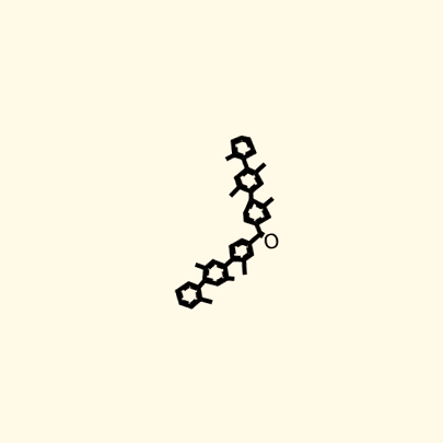 Cc1ccccc1-c1cc(C)c(-c2ccc(C(=O)c3ccc(-c4cc(C)c(-c5ccccc5C)cc4C)c(C)c3)cc2C)cc1C